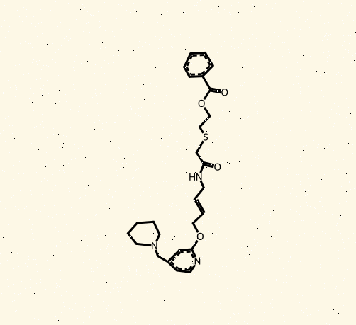 O=C(CSCCOC(=O)c1ccccc1)NCC=CCOc1cc(CN2CCCCC2)ccn1